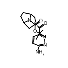 CC(C)(C)OC(=O)N1C2CCC1CN(C(=O)c1ccc(N)nn1)C2